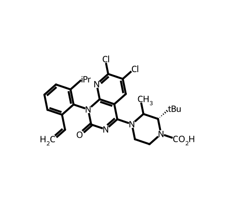 C=Cc1cccc(C(C)C)c1-n1c(=O)nc(N2CCN(C(=O)O)[C@@H](C(C)(C)C)C2C)c2cc(Cl)c(Cl)nc21